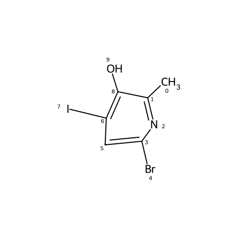 Cc1nc(Br)cc(I)c1O